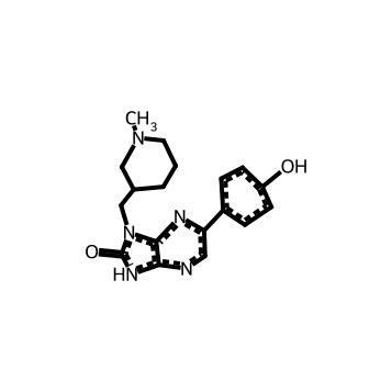 CN1CCCC(Cn2c(=O)[nH]c3ncc(-c4ccc(O)cc4)nc32)C1